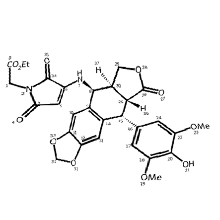 CCOC(=O)CN1C(=O)C=C(N[C@@H]2c3cc4c(cc3[C@@H](c3cc(OC)c(O)c(OC)c3)[C@H]3C(=O)OC[C@@H]32)OCO4)C1=O